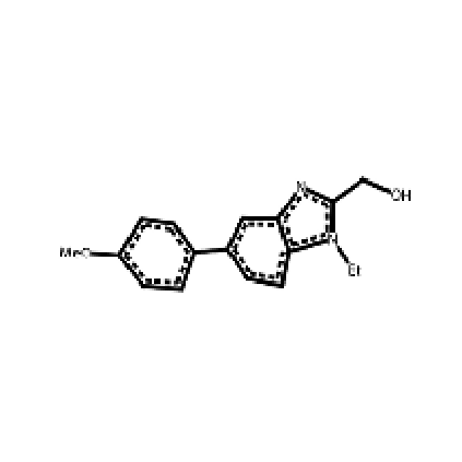 CCn1c(CO)nc2cc(-c3ccc(OC)cc3)ccc21